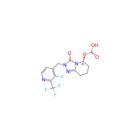 O=C(O)O[C@H]1CCCc2nn(Cc3ccnc(C(F)(F)F)c3F)c(=O)n21